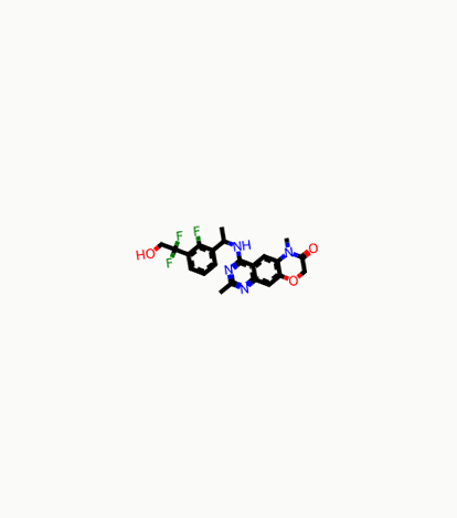 Cc1nc(NC(C)c2cccc(C(F)(F)CO)c2F)c2cc3c(cc2n1)OCC(=O)N3C